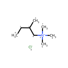 CCC(C)C[N+](C)(C)C.[Cl-]